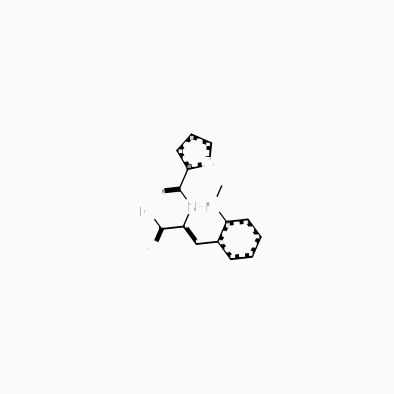 COc1ccccc1C=C(NC(=O)c1ccco1)C(=O)O